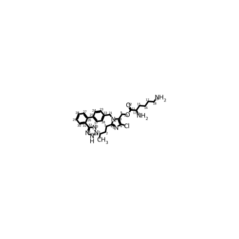 CCCCc1nc(Cl)c(COC(=O)C(N)CCCCN)n1Cc1ccc(-c2ccccc2-c2nn[nH]n2)cc1